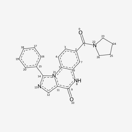 O=C(c1ccc2c(c1)[nH]c(=O)c1cnc(-c3ccccc3)n12)N1CCCC1